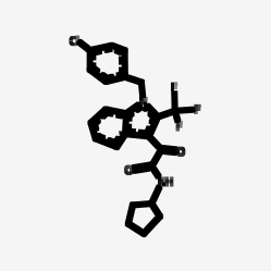 O=C(NC1CCCC1)C(=O)c1c(C(F)(F)F)n(Cc2ccc(Cl)cc2)c2ccccc12